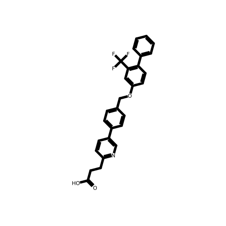 O=C(O)CCc1ccc(-c2ccc(COc3ccc(-c4ccccc4)c(C(F)(F)F)c3)cc2)cn1